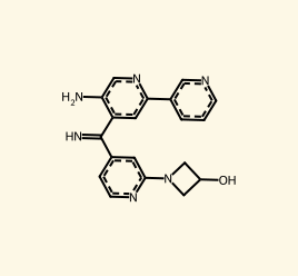 N=C(c1ccnc(N2CC(O)C2)c1)c1cc(-c2cccnc2)ncc1N